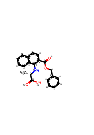 C[C@H](Nc1c(C(=O)OCc2ccccc2)ccc2ccccc12)C(=O)O